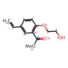 C=Cc1ccc(OCCO)c(C(=O)OC)c1